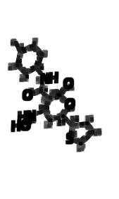 Cc1ccc(NC(=O)c2c(NO)cc(-c3cccs3)oc2=O)cc1